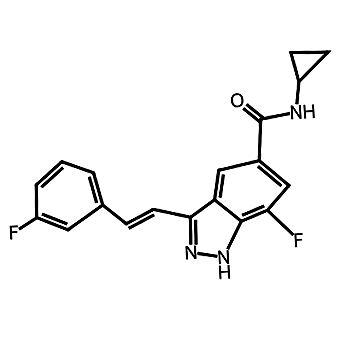 O=C(NC1CC1)c1cc(F)c2[nH]nc(/C=C/c3cccc(F)c3)c2c1